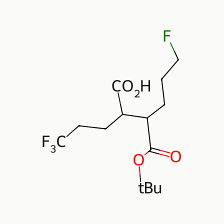 CC(C)(C)OC(=O)C(CCCF)C(CCC(F)(F)F)C(=O)O